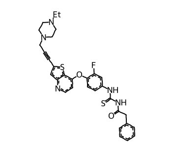 CCN1CCN(CC#Cc2cc3nccc(Oc4ccc(NC(=S)NC(=O)Cc5ccccc5)cc4F)c3s2)CC1